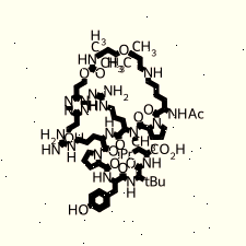 CC(=O)NC(CCCCNCCC(C)(C)OCCC(C)(C)NC(=O)OCCc1nnc(CCO)nn1)C(=O)N1CCCC1C(=O)N(C)C(CCCNC(=N)N)C(=O)NC(CCCNC(=N)N)C(=O)N1CCCC1C(=O)NC(Cc1ccc(O)cc1)C(=O)NC(C(=O)NC(CC(C)C)C(=O)O)C(C)(C)C